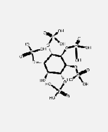 O=P(O)(O)O[C@H]1[C@@H](OP(=O)(O)O)[C@H](OP(=O)(O)O)[C@@H](O)[C@H](OP(=O)(O)O)[C@@H]1OP(=O)(O)O